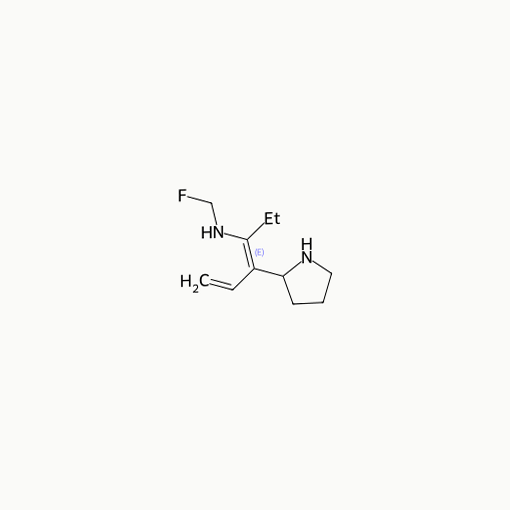 C=C/C(=C(/CC)NCF)C1CCCN1